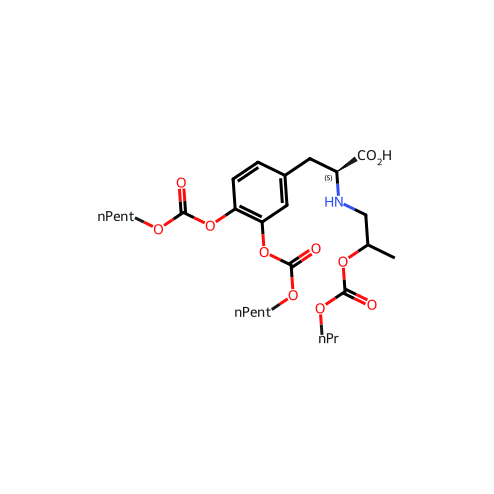 CCCCCOC(=O)Oc1ccc(C[C@H](NCC(C)OC(=O)OCCC)C(=O)O)cc1OC(=O)OCCCCC